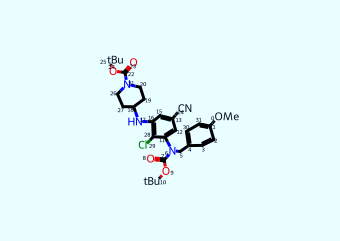 COc1ccc(CN(C(=O)OC(C)(C)C)c2cc(C#N)cc(NC3CCN(C(=O)OC(C)(C)C)CC3)c2Cl)cc1